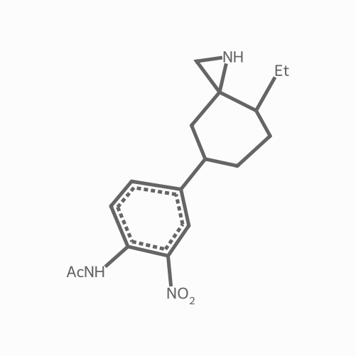 CCC1CCC(c2ccc(NC(C)=O)c([N+](=O)[O-])c2)CC12CN2